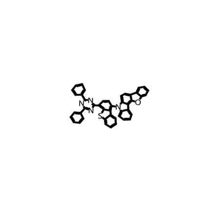 c1ccc(-c2nc(-c3ccccc3)nc(-c3ccc(-n4c5ccccc5c5c6oc7ccccc7c6ccc54)c4c3sc3ccccc34)n2)cc1